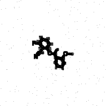 COc1ccccc1C(C)Oc1cccc(F)c1C#N